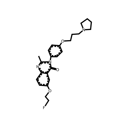 Cc1nc2ccc(OCCF)cc2c(=O)n1-c1ccc(OCCCN2CCCC2)cc1